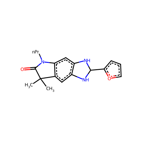 CCCN1C(=O)C(C)(C)c2cc3c(cc21)NC(c1ccco1)N3